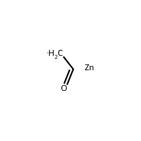 [CH2]C=O.[Zn]